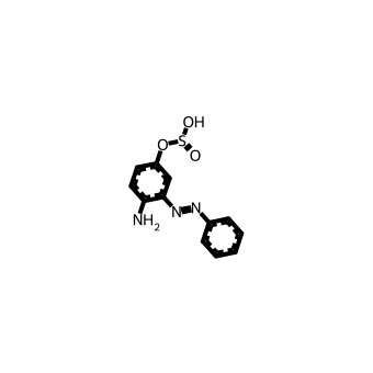 Nc1ccc(OS(=O)O)cc1N=Nc1ccccc1